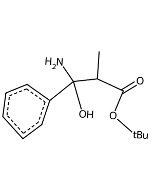 CC(C(=O)OC(C)(C)C)C(N)(O)c1ccccc1